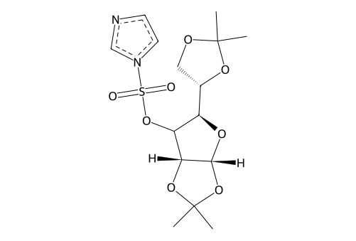 CC1(C)OC[C@@H]([C@H]2O[C@@H]3OC(C)(C)O[C@@H]3C2OS(=O)(=O)n2ccnc2)O1